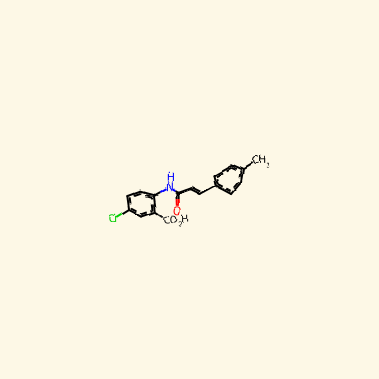 Cc1ccc(C=CC(=O)Nc2ccc(Cl)cc2C(=O)O)cc1